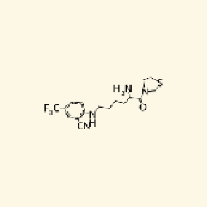 N#Cc1cc(C(F)(F)F)ccc1NCCCCC(N)C(=O)N1CCSC1